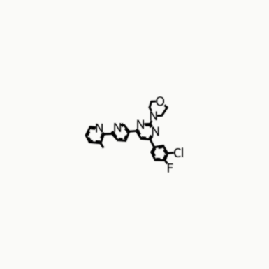 Cc1cccnc1-c1ccc(-c2cc(-c3ccc(F)c(Cl)c3)nc(N3CCOCC3)n2)cn1